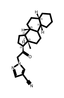 C[C@]12CCC3[C@H]4CCCC[C@H]4CC[C@H]3[C@@H]1CC[C@@H]2C(=O)Cn1cc(C#N)cn1